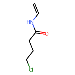 C=CNC(=O)CCCCl